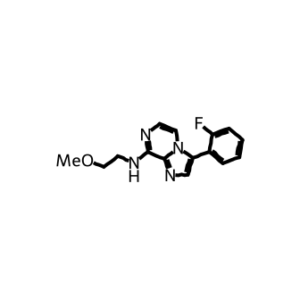 COCCNc1nccn2c(-c3ccccc3F)cnc12